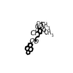 COc1cc(C=CC(=O)Oc2cc3ccc4cccc5ccc(c2)c3c45)c(Cl)c(OC)c1OC